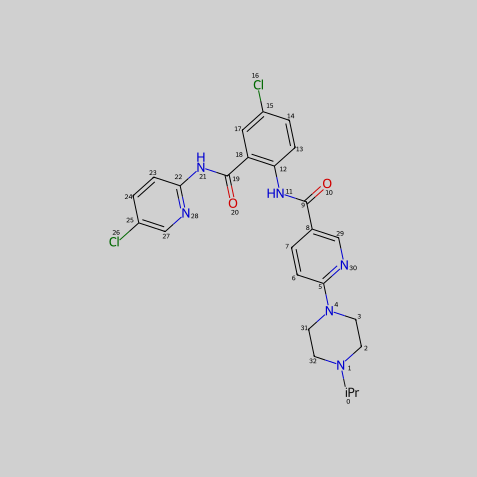 CC(C)N1CCN(c2ccc(C(=O)Nc3ccc(Cl)cc3C(=O)Nc3ccc(Cl)cn3)cn2)CC1